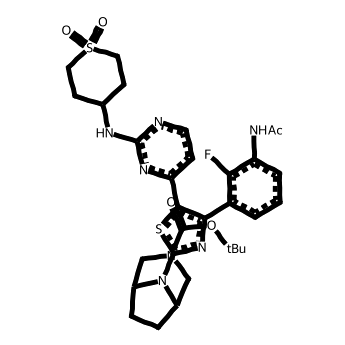 CC(=O)Nc1cccc(-c2nc(N3C4CCC3CN(C(=O)OC(C)(C)C)C4)sc2-c2ccnc(NC3CCS(=O)(=O)CC3)n2)c1F